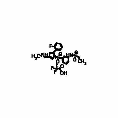 CCS(=O)(=O)Nc1cccc(S(=O)(=O)n2cc(CNC)cc2-c2ccccc2F)c1.O=C(O)C(F)(F)F